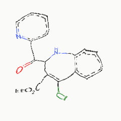 CCOC(=O)C1=C(Cl)c2ccccc2NC1C(=O)c1ccccn1